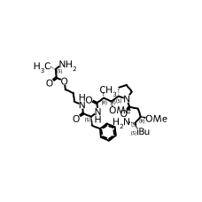 CC[C@H](C)[C@H](N)[C@@H](CC(=O)N1CCC[C@H]1[C@H](OC)[C@@H](C)C(=O)N[C@@H](Cc1ccccc1)C(=O)NCCCOC(=O)[C@H](C)N)OC